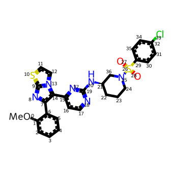 COc1ccccc1-c1nc2sccn2c1-c1ccnc(N[C@@H]2CCCN(S(=O)(=O)c3ccc(Cl)cc3)C2)n1